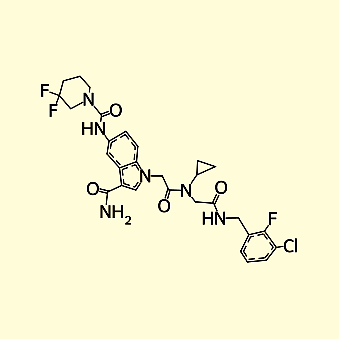 NC(=O)c1cn(CC(=O)N(CC(=O)NCc2cccc(Cl)c2F)C2CC2)c2ccc(NC(=O)N3CCCC(F)(F)C3)cc12